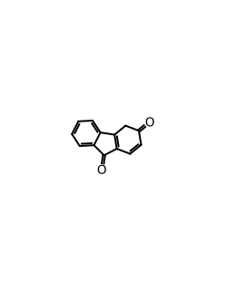 O=C1C=CC2=C(C1)c1ccccc1C2=O